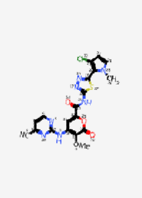 COc1c(Nc2nccc(C#N)n2)cc(C(=O)Nc2nnc(-c3c(Cl)ccn3C)s2)oc1=O